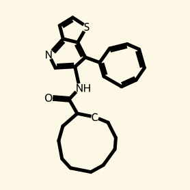 O=C(Nc1cnc2ccsc2c1C1=C/C=C\C=C/C=C\1)C1CCCCCCCCCC1